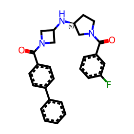 O=C(c1ccc(-c2ccccc2)cc1)N1CC(N[C@H]2CCN(C(=O)c3cccc(F)c3)C2)C1